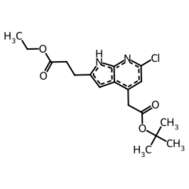 CCOC(=O)CCc1cc2c(CC(=O)OC(C)(C)C)cc(Cl)nc2[nH]1